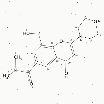 CN(C)C(=O)c1cc(CO)c2oc(N3CCOCC3)cc(=O)c2c1